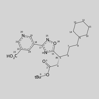 CC(C)(C)OC(=O)C[C@@H](CCCC1CCCCC1)c1nc(-c2cncc(C(=O)O)c2)no1